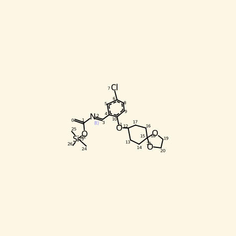 C=C(/N=C/c1cc(Cl)ccc1OC1CCC2(CC1)OCCO2)O[Si](C)(C)C